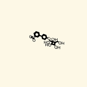 O=[N+]([O-])c1cccc(-c2ccc(OC(O)C3(O)C(O)C(O)C3CO)cc2)c1